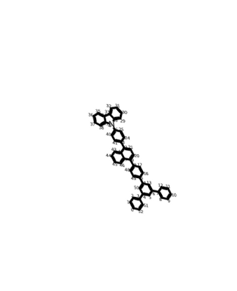 c1ccc(-c2cc(-c3ccccc3)cc(-c3ccc(-c4ccc(-c5ccc(-n6c7ccccc7c7ccccc76)cc5)c5ccccc45)cc3)c2)cc1